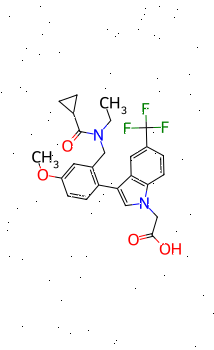 CCN(Cc1cc(OC)ccc1-c1cn(CC(=O)O)c2ccc(C(F)(F)F)cc12)C(=O)C1CC1